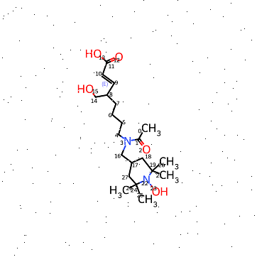 CC(=O)N(CCCCC(/C=C/C(=O)O)CO)CC1CC(C)(C)N(O)C(C)(C)C1